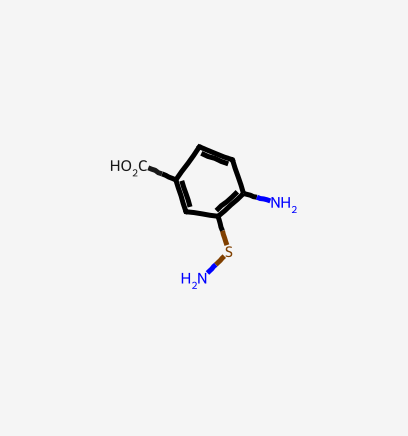 NSc1cc(C(=O)O)ccc1N